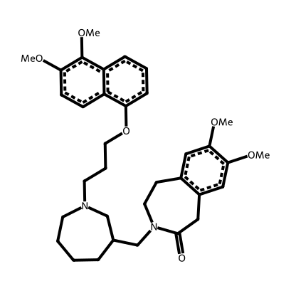 COc1cc2c(cc1OC)CC(=O)N(CC1CCCCN(CCCOc3cccc4c(OC)c(OC)ccc34)C1)CC2